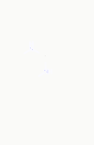 CC1(Cc2ccccc2)NCc2ccccc2N1